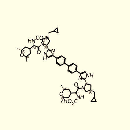 C[C@@H]1CC([C@H](NC(=O)O)C(=O)N2C[C@H](CC3CC3)C[C@H]2c2nc(-c3ccc(-c4ccc(-c5c[nH]c([C@@H]6C[C@@H](CC7CC7)CN6C(=O)[C@@H](NC(=O)O)C6C[C@@H](C)O[C@H](C)C6)n5)cc4)cc3)c[nH]2)C[C@@H](C)O1